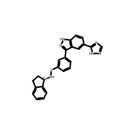 c1cc(ON[C@@H]2CCc3ccccc32)cc(-c2n[nH]c3ccc(-c4ncn[nH]4)cc23)c1